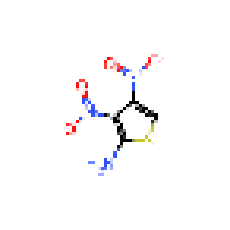 Nc1scc([N+](=O)[O-])c1[N+](=O)[O-]